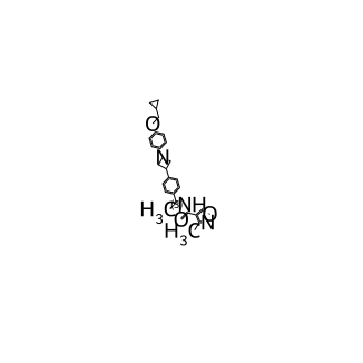 Cc1nocc1C(=O)N[C@@H](C)c1ccc(C2CN(c3ccc(OCC4CC4)cc3)C2)cc1